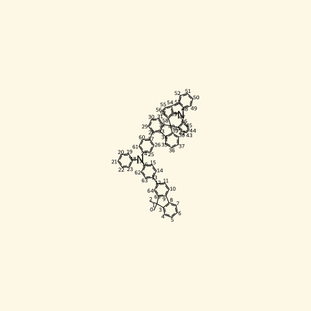 CC1(C)c2ccccc2-c2ccc(-c3ccc(N(c4ccccc4)c4ccc(-c5cccc6c5-c5ccccc5C65c6ccccc6-n6c7ccccc7c7cccc5c76)cc4)cc3)cc21